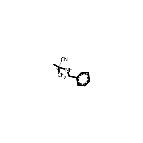 C[C@@](C#N)(NCc1ccccc1)C(F)(F)F